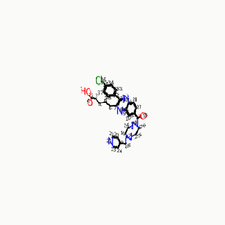 O=C(O)CCCCc1nc2cc(C(=O)N3CCN(Cc4ccncc4)CC3)ccc2nc1-c1ccc(Cl)cc1